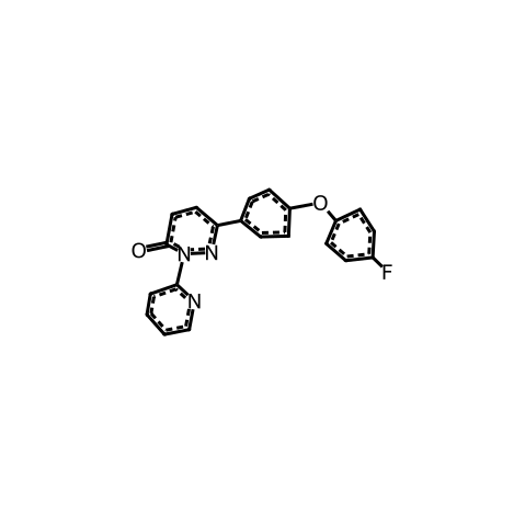 O=c1ccc(-c2ccc(Oc3ccc(F)cc3)cc2)nn1-c1ccccn1